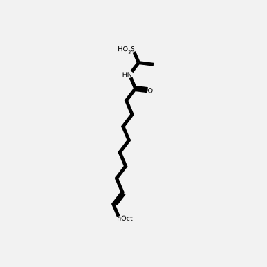 CCCCCCCCC=CCCCCCCCC(=O)NC(C)S(=O)(=O)O